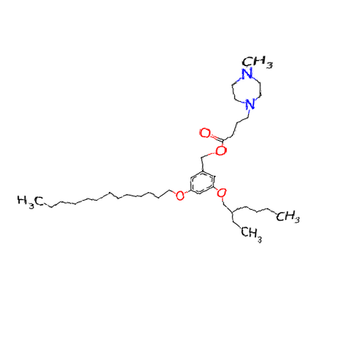 CCCCCCCCCCCCCOc1cc(COC(=O)CCCN2CCN(C)CC2)cc(OCC(CC)CCCC)c1